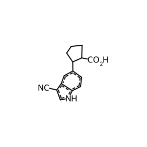 N#Cc1c[nH]c2ccc(C3CCCC3C(=O)O)cc12